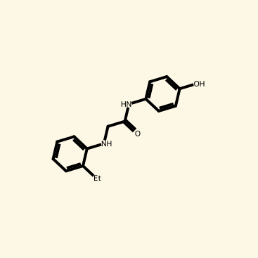 CCc1ccccc1NCC(=O)Nc1ccc(O)cc1